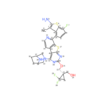 N#Cc1c(N)sc2c(F)ccc(-c3nccc4c3sc3nc(OC[C@]5(CO)CC5(F)F)nc(N5CC6CCC(C5)N6)c34)c12